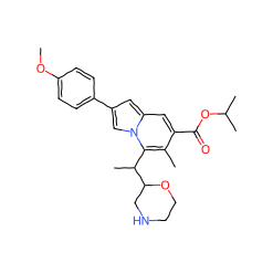 COc1ccc(-c2cc3cc(C(=O)OC(C)C)c(C)c(C(C)C4CNCCO4)n3c2)cc1